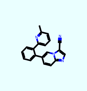 Cc1cccc(-c2ccccc2-c2ccc3ncc(C#N)n3c2)n1